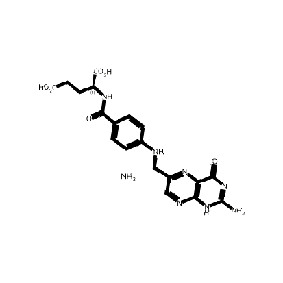 N.Nc1nc(=O)c2nc(CNc3ccc(C(=O)N[C@@H](CCC(=O)O)C(=O)O)cc3)cnc2[nH]1